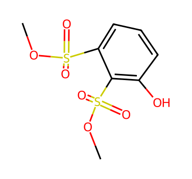 COS(=O)(=O)c1cccc(O)c1S(=O)(=O)OC